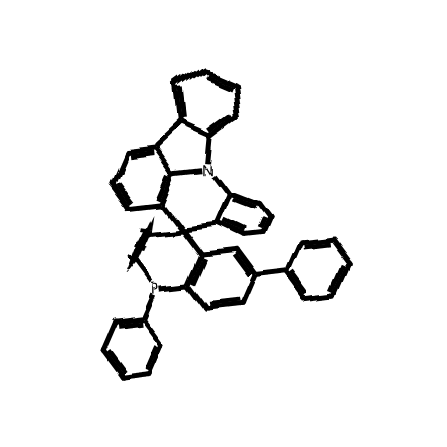 c1ccc(-c2ccc3c(c2)C2(c4ccccc4-n4c5ccccc5c5cccc2c54)c2ccccc2P3c2ccccc2)cc1